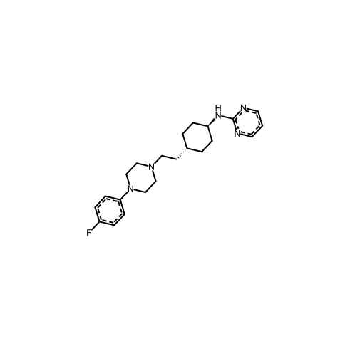 Fc1ccc(N2CCN(CC[C@H]3CC[C@H](Nc4ncccn4)CC3)CC2)cc1